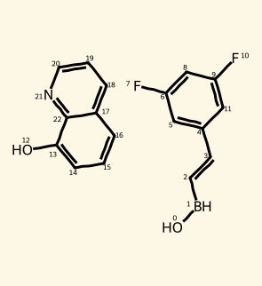 OBC=Cc1cc(F)cc(F)c1.Oc1cccc2cccnc12